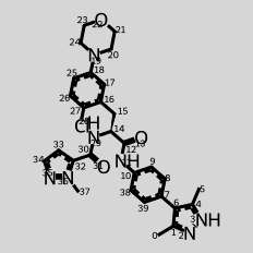 Cc1n[nH]c(C)c1-c1ccc(NC(=O)[C@H](Cc2cc(N3CCOCC3)ccc2Cl)NC(=O)c2ccnn2C)cc1